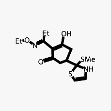 CCON=C(CC)C1=C(O)CC(C2(SC)NC=CS2)CC1=O